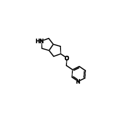 c1cncc(COC2CC3CNCC3C2)c1